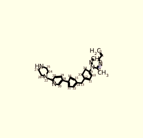 C=CC/N=C(/C)N(N=C)C1=CC=C(Cc2ccc(-c3ccc(CN4CCNCC4)nc3)cc2)CC1